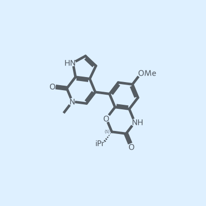 COc1cc2c(c(-c3cn(C)c(=O)c4[nH]ccc34)c1)O[C@@H](C(C)C)C(=O)N2